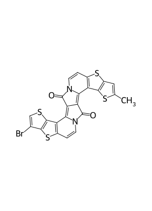 Cc1cc2sc3c(c2s1)C1=C2C(=O)N4C=Cc5sc6c(Br)csc6c5C4=C2C(=O)N1C=C3